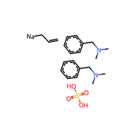 C=C[CH2][Na].CN(C)Cc1ccccc1.CN(C)Cc1ccccc1.O=S(=O)(O)O